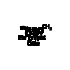 CCCCCC(C)(Pc1ccc(C)cc1C=O)c1cc(C(C)(C)C)cc(C(C)(C)C)c1OCOC